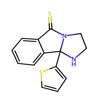 S=C1c2ccccc2C2(c3cccs3)NCCN12